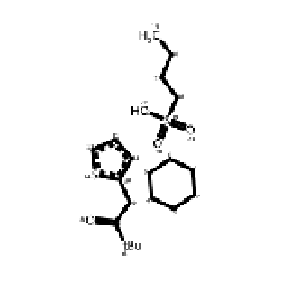 C1CCCCC1.CC(C)(C)C(=O)Cc1cccs1.CCCCS(=O)(=O)O